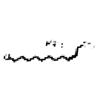 CC/C=C\CCCCCCCCCl.[MgH2]